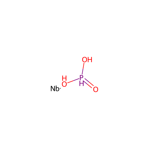 O=[PH](O)O.[Nb]